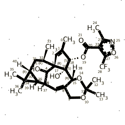 CC1=C[C@]23C(O)[C@@H](C=C4COC(C)(C)O[C@H]4[C@]2(O)[C@H]1OC(=O)c1c(C)noc1C(F)(F)F)[C@H]1[C@@H](C[C@H]3C)C1(C)C